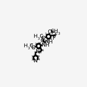 COc1cc(OC)c(C(F)(F)F)cc1NC(=O)Nc1ccc(OC)c2c1ccn2Cc1ccncc1